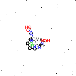 COc1nc(-c2cccc(-c3cccc(-c4ccc(CN5CC6(C5)CN(C(=O)CO)C6)c(OC)n4)c3Cl)c2Cl)ccc1CN1CCN(C(=O)CO)CC1